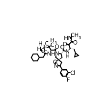 CNC(=O)C(=O)[C@H](CC1CC1)NC(=O)[C@@H]1C[C@]2(CC(c3ccc(F)c(Cl)c3)=NO2)CN1C(=O)[C@@H](NC(=O)CC1CCCCC1)C(C)(C)C